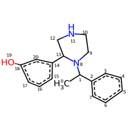 CC(c1ccccc1)N1CCNCC1c1cccc(O)c1